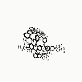 CC1(C)Cc2ccc(N(c3cccc(C(C)(C)C)c3)c3cc4c(cc3C(C)(C)C)N(c3cccc5c3CC(C)(C)C5)c3cc(C(C)(C)C)cc5c3B4c3ccc(C(C)(C)C)cc3N5c3cccc4c3CC(C)(C)C4)cc2C1